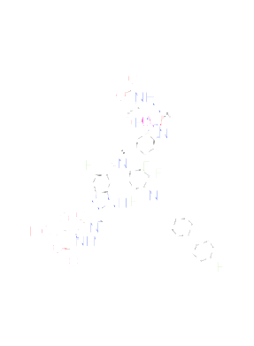 COC(=O)N[C@H](C(=O)N1CCC[C@H]1c1nc2cc(F)c([C@H]3CC[C@H](c4cc5[nH]c([C@@]6(C)CCCN6C(O)[C@@H](NC(=O)OC)[C@@H](C)OC)nc5cc4F)N3c3cc(F)c(N4CCC(c5ccc(-c6ccc(F)cc6)cc5)CC4)c(F)c3)cc2[nH]1)[C@@H](CO)OC